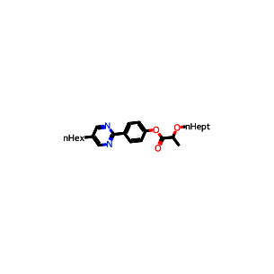 CCCCCCCOC(C)C(=O)Oc1ccc(-c2ncc(CCCCCC)cn2)cc1